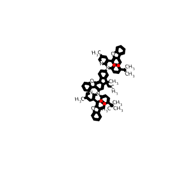 CCC1(C)c2cc(N(c3ccc(C(C)C)cc3)c3ncc(C)cc3-c3cccc4c3oc3ccccc34)ccc2-c2c1cc(N(c1ccc(C(C)(C)C)cc1)c1ncc(C)cc1-c1cccc3c1oc1ccccc13)c1c2oc2ccccc21